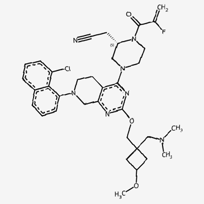 C=C(F)C(=O)N1CCN(c2nc(OCC3(CN(C)C)CC(OC)C3)nc3c2CCN(c2cccc4cccc(Cl)c24)C3)C[C@@H]1CC#N